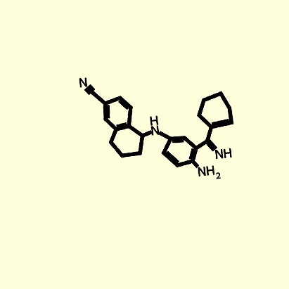 N#Cc1ccc2c(c1)CCCC2Nc1ccc(N)c(C(=N)C2=CCCCC2)c1